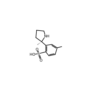 Cc1ccc(S(=O)(=O)O)c([C@@]2(C)CCCN2)c1